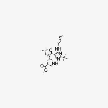 COC(=O)C1CNCC(N(CC(C)C)C(=O)c2cnc(C(C)(C)C)nc2NCCCSC)C1